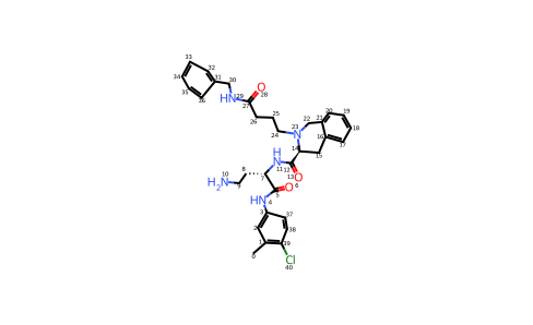 Cc1cc(NC(=O)[C@H](CCN)NC(=O)[C@@H]2Cc3ccccc3CN2CCCC(=O)NCc2ccccc2)ccc1Cl